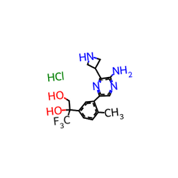 Cc1ccc(C(O)(CO)C(F)(F)F)cc1-c1cnc(N)c(C2CNC2)n1.Cl